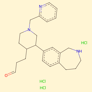 Cl.Cl.Cl.O=CCCC1CCN(Cc2ccccn2)CC1c1ccc2c(c1)CNCCC2